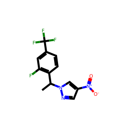 CC(c1ccc(C(F)(F)F)cc1F)n1cc([N+](=O)[O-])cn1